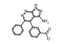 Nc1n[nH]c2nnc(-c3ccccc3)c(-c3cccc([N+](=O)[O-])c3)c12